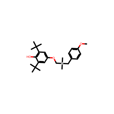 COc1ccc(C[Si](C)(C)COc2cc(C(C)(C)C)c(O)c(C(C)(C)C)c2)cc1